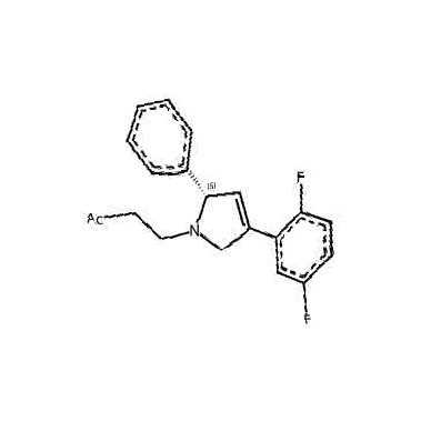 CC(=O)CCN1CC(c2cc(F)ccc2F)=C[C@H]1c1ccccc1